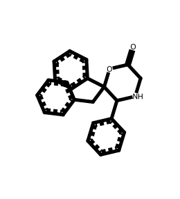 O=C1CNC(c2ccccc2)C(Cc2ccccc2)(c2ccccc2)O1